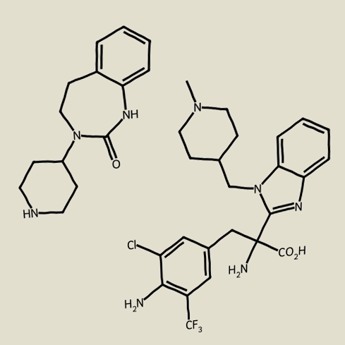 CN1CCC(Cn2c(C(N)(Cc3cc(Cl)c(N)c(C(F)(F)F)c3)C(=O)O)nc3ccccc32)CC1.O=C1Nc2ccccc2CCN1C1CCNCC1